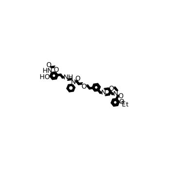 CCOc1ccccc1C(=O)N1CCOC2(CCN(Cc3cccc(CCOCCC(=O)N(CCNCCc4ccc(O)c5c4OCC(=O)N5)C4CCCCC4)c3)CC2)C1